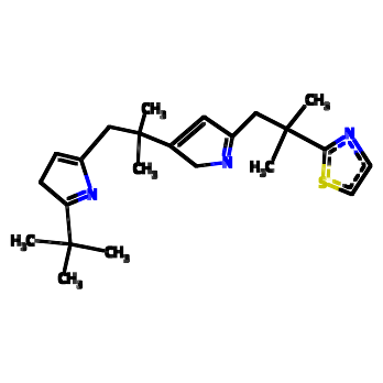 CC(C)(C)C1=NC(CC(C)(C)C2=CC(CC(C)(C)c3nccs3)=NC2)=CC1